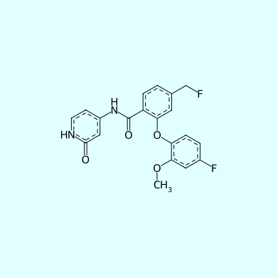 COc1cc(F)ccc1Oc1cc(CF)ccc1C(=O)Nc1cc[nH]c(=O)c1